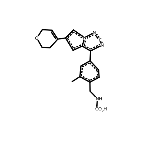 Cc1cc(-c2ncnn3cc(C4=CCOCC4)cc23)ccc1CNC(=O)O